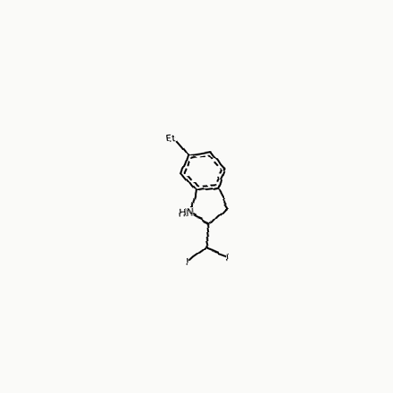 CCc1ccc2c(c1)NC(C(I)I)C2